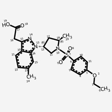 CCOc1ccc(S(=O)(=O)N2C[C@H](n3nc(CC(=O)O)c4ccc(C)cc43)C[C@H]2C)cc1